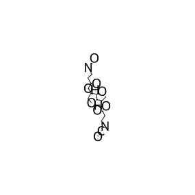 O=C=NCCC(=O)O[C@@H]1CO[C@H]2[C@@H]1OC[C@H]2OC(=O)CCN=C=O